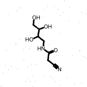 N#CCC(=O)NCC(O)C(O)CO